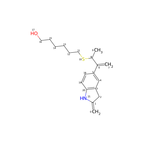 C=C1Cc2cc(C(=C)C(C)SCCCCCCO)ccc2N1